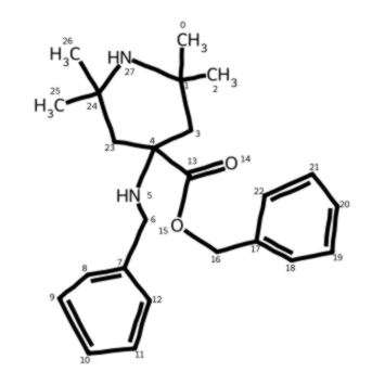 CC1(C)CC(NCc2ccccc2)(C(=O)OCc2ccccc2)CC(C)(C)N1